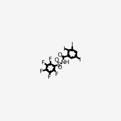 O=C(NS(=O)(=O)c1c(F)c(F)c(F)c(F)c1F)c1cc(I)cc(I)c1I